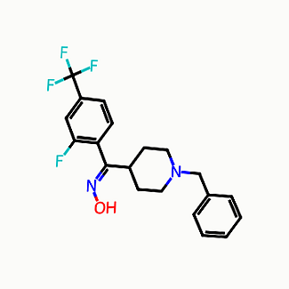 O/N=C(/c1ccc(C(F)(F)F)cc1F)C1CCN(Cc2ccccc2)CC1